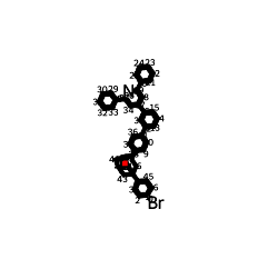 Brc1ccc(C23CC4(c5ccc(-c6cccc(-c7cc(-c8ccccc8)nc(-c8ccccc8)c7)c6)cc5)CC5CC(C4)(C2)C53)cc1